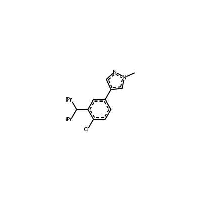 CC(C)C(c1cc(-c2cnn(C)c2)ccc1Cl)C(C)C